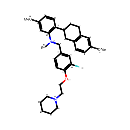 COc1ccc2c(c1)CCC(c1ccc(OC)cc1N(Cc1ccc(OCCN3CCCCC3)c(F)c1)C(C)C)C2